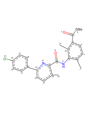 COC(=O)c1ccc(C)c(NC(=O)c2nc(-c3ccc(Cl)cc3)ccc2C)c1C